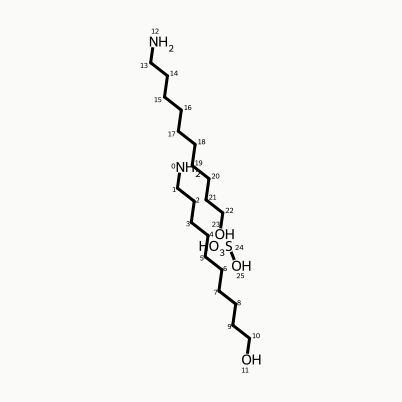 NCCCCCCCCCCO.NCCCCCCCCCCO.O=S(=O)(O)O